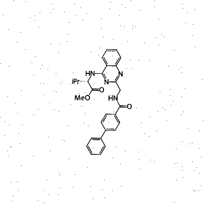 COC(=O)[C@@H](Nc1nc(CNC(=O)c2ccc(-c3ccccc3)cc2)nc2ccccc12)C(C)C